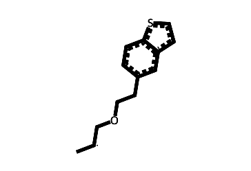 C[CH]COCCc1ccc2sccc2c1